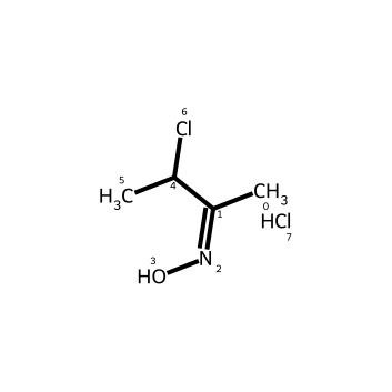 CC(=NO)C(C)Cl.Cl